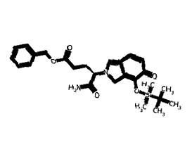 CC(C)(C)[Si](C)(C)OC1=C2CN([C@H](CCC(=O)OCc3ccccc3)C(N)=O)C=C2C=CC1=O